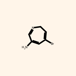 NC1=CC(Br)=CCN=C1